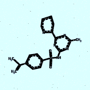 C=C(C)c1ccc(S(=O)(=O)Nc2nc(C)nc(-c3ccccn3)n2)cc1